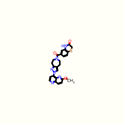 COc1ccc2nccc(-n3cc4c(n3)CCN(C(=O)c3ccc5c(c3)NC(=O)CS5)CC4)c2n1